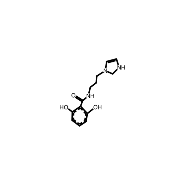 O=C(NCCCN1C=CNC1)c1c(O)cccc1O